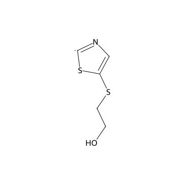 OCCSc1cn[c]s1